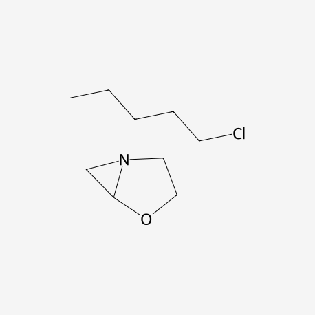 C1CN2CC2O1.CCCCCCl